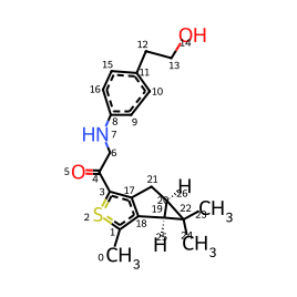 Cc1sc(C(=O)CNc2ccc(CCO)cc2)c2c1[C@H]1[C@@H](C2)C1(C)C